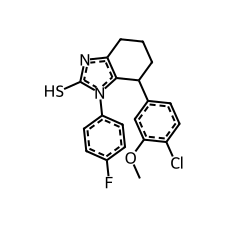 COc1cc(C2CCCc3nc(S)n(-c4ccc(F)cc4)c32)ccc1Cl